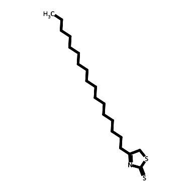 CCCCCCCCCCCCCCCCCC1=NC(=S)SC1